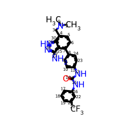 CN(C)Cc1ccc(-c2ccc(NC(=O)Nc3cccc(C(F)(F)F)c3)cc2)c2c(N)n[nH]c12